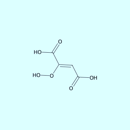 O=C(O)C=C(OO)C(=O)O